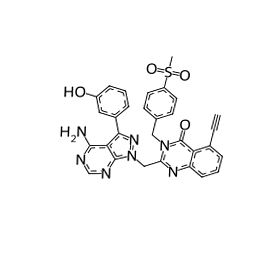 C#Cc1cccc2nc(Cn3nc(-c4cccc(O)c4)c4c(N)ncnc43)n(Cc3ccc(S(C)(=O)=O)cc3)c(=O)c12